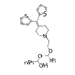 CCCC(O)OC(CCC)OCCN1CCC(=C(c2cccs2)c2cccs2)CC1